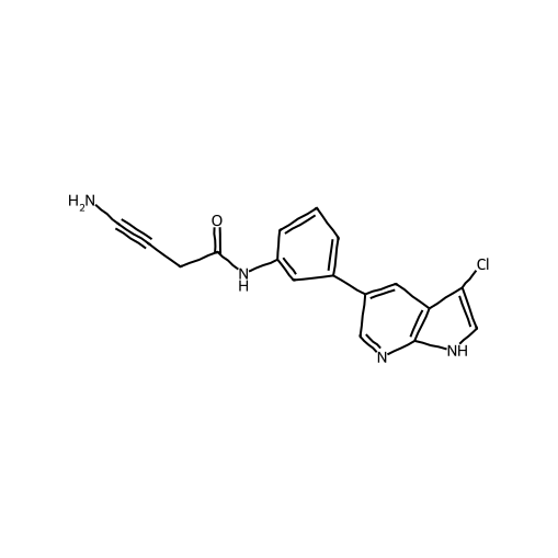 NC#CCC(=O)Nc1cccc(-c2cnc3[nH]cc(Cl)c3c2)c1